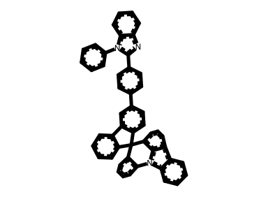 c1ccc(-n2c(-c3ccc(-c4ccc5c(c4)-c4ccccc4C54c5ccccc5-n5c6ccccc6c6cccc4c65)cc3)nc3ccccc32)cc1